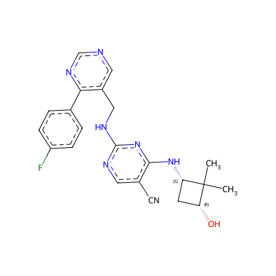 CC1(C)[C@H](O)C[C@@H]1Nc1nc(NCc2cncnc2-c2ccc(F)cc2)ncc1C#N